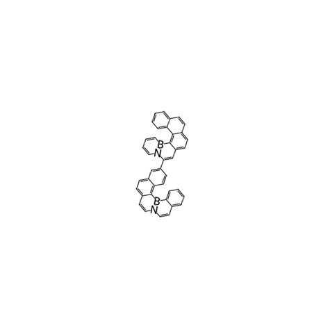 C1=CB2c3c(ccc4ccc5ccccc5c34)C=C(c3ccc4c5c(ccc4c3)C=CN3C=Cc4ccccc4B53)N2C=C1